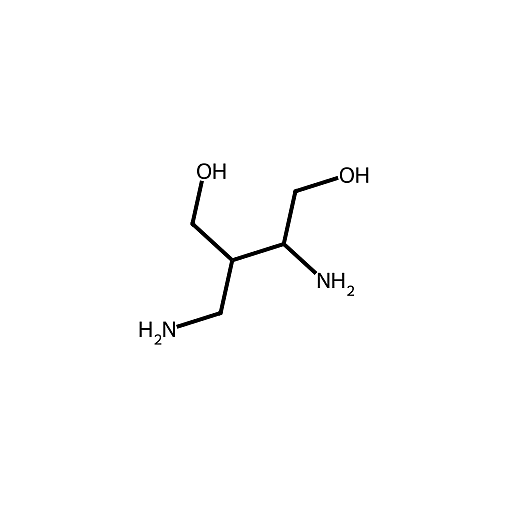 NCC(CO)C(N)CO